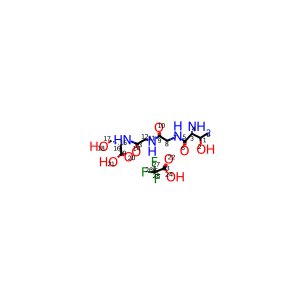 CC(O)C(N)C(=O)NCC(=O)NCC(=O)N[C@@H](CO)C(=O)O.O=C(O)C(F)(F)F